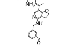 CC/C=C(N)/N=C\C=C(/C)c1cnc(NCc2cccc(C=O)c2)c2c1OCC2